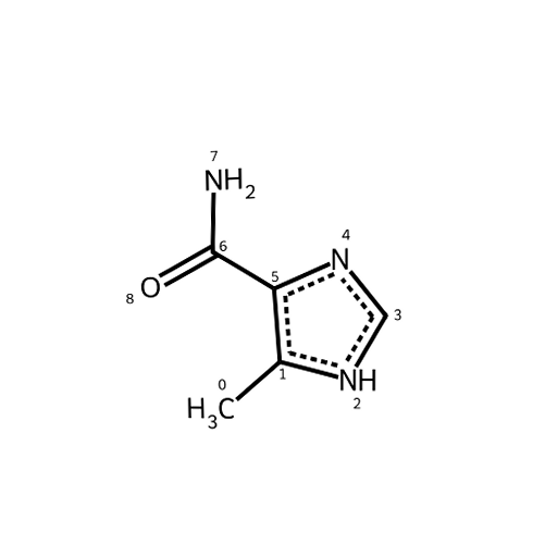 Cc1[nH]cnc1C(N)=O